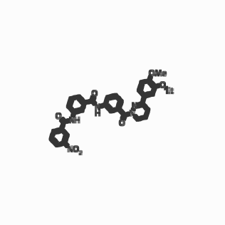 CCOc1cc(C2=NN(C(=O)c3cccc(NC(=O)c4cccc(NC(=O)c5cccc([N+](=O)[O-])c5)c4)c3)CCC2)ccc1OC